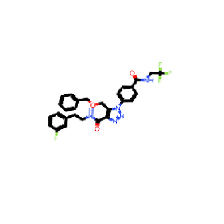 O=C(NCC(F)(F)F)c1ccc(-n2nnc(C(=O)NCCc3cccc(F)c3)c2COCc2ccccc2)cc1